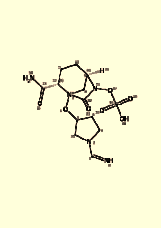 N=CN1CCC(O[N+]23C[C@@H](CC[C@H]2C(N)=O)N(OS(=O)(=O)O)C3=O)C1